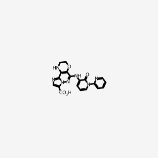 O=C(O)c1cnc2c3c(c(Nc4cccn(-c5ccccn5)c4=O)nn12)OCCN3